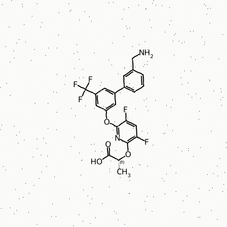 C[C@@H](Oc1nc(Oc2cc(-c3cccc(CN)c3)cc(C(F)(F)F)c2)c(F)cc1F)C(=O)O